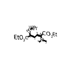 CCOC(=O)C(=CC=C(C(=O)OCC)N(C)C)SC(C)C